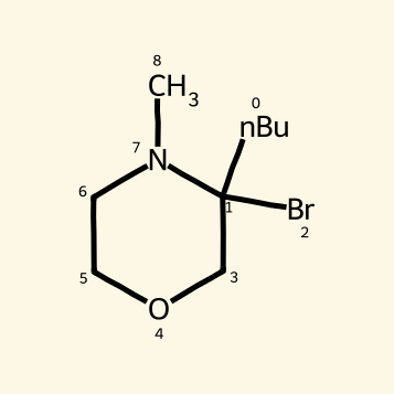 CCCCC1(Br)COCCN1C